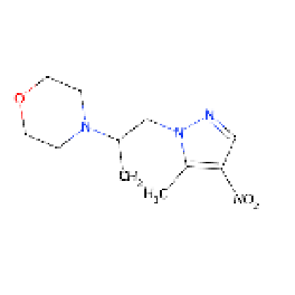 Cc1c([N+](=O)[O-])cnn1CC(C)N1CCOCC1